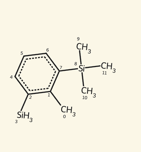 Cc1c([SiH3])cccc1[Si](C)(C)C